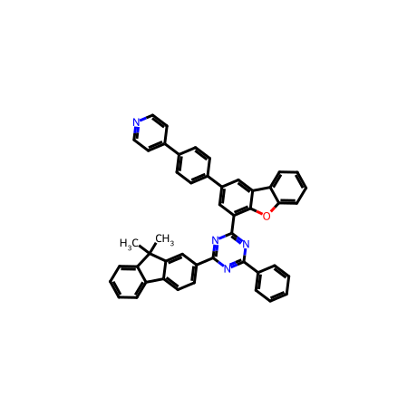 CC1(C)c2ccccc2-c2ccc(-c3nc(-c4ccccc4)nc(-c4cc(-c5ccc(-c6ccncc6)cc5)cc5c4oc4ccccc45)n3)cc21